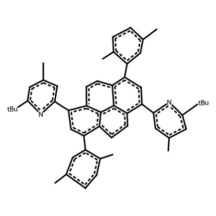 Cc1cc(-c2cc(-c3cc(C)ccc3C)c3ccc4c(-c5cc(C)cc(C(C)(C)C)n5)cc(-c5cc(C)ccc5C)c5ccc2c3c45)nc(C(C)(C)C)c1